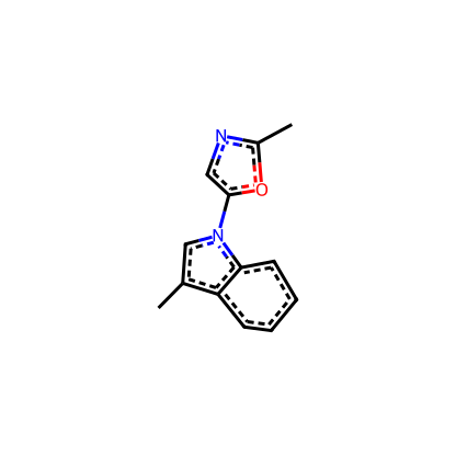 Cc1ncc(-n2cc(C)c3ccccc32)o1